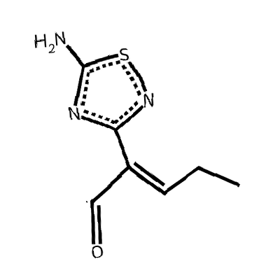 CC/C=C(/[C]=O)c1nsc(N)n1